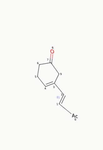 CC(=O)/C=C/C1=CCCC(=O)C1